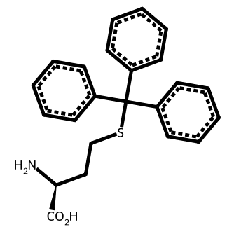 N[C@@H](CCSC(c1ccccc1)(c1ccccc1)c1ccccc1)C(=O)O